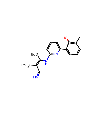 CCOC(=O)/C(C=N)=C(/Nc1cccc(-c2cccc(C)c2O)n1)OCC(C)C